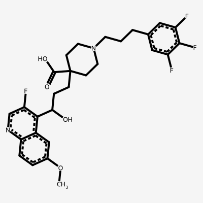 COc1ccc2ncc(F)c(C(O)CCC3(C(=O)O)CCN(CCCc4cc(F)c(F)c(F)c4)CC3)c2c1